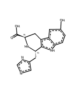 O=C(O)[C@H]1Cc2c([nH]c3ccc(O)cc23)[C@H](Cc2cnc[nH]2)N1